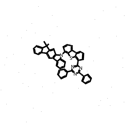 CC1(C)c2ccccc2-c2cc3c4ccccc4n(-c4cccc5c4sc4c(-c6nc(-c7ccccc7)nc(-c7ccccc7)n6)cccc45)c3cc21